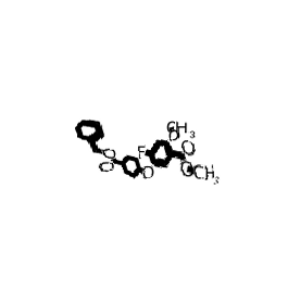 COC(=O)c1cc(OC2CCC(C(=O)OCc3ccccc3)CC2)c(F)cc1OC